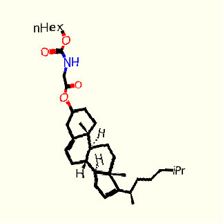 CCCCCCOC(=O)NCC(=O)OC1CC[C@@]2(C)C(=CC[C@@H]3[C@@H]2CC[C@]2(C)C([C@H](C)CCCC(C)C)=CC[C@@H]32)C1